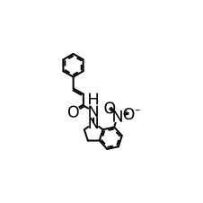 O=C(C=Cc1ccccc1)NN1CCc2cccc([N+](=O)[O-])c21